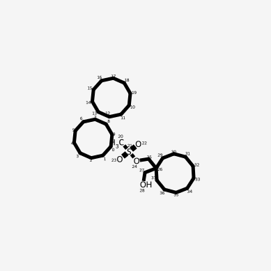 C1CCCCCCCCC1.C1CCCCCCCCC1.CS(=O)(=O)OCC1(CO)CCCCCCCCC1